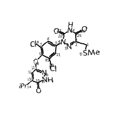 CSCc1nn(-c2cc(Cl)c(Oc3cc(C(C)C)c(=O)[nH]n3)c(Cl)c2)c(=O)[nH]c1=O